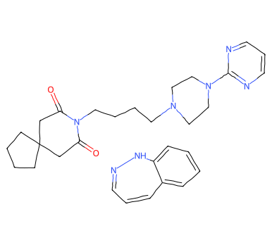 C1=Cc2ccccc2NN=C1.O=C1CC2(CCCC2)CC(=O)N1CCCCN1CCN(c2ncccn2)CC1